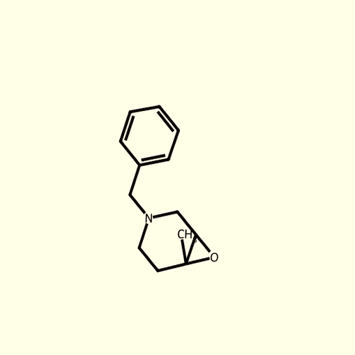 CC12CCN(Cc3ccccc3)CC1O2